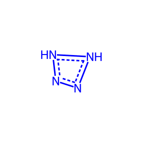 n1n[nH][nH]1